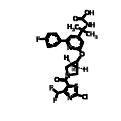 CC(C)(NC(=O)O)c1cc(OC2[C@H]3CN(C(=O)c4sc(Cl)nc4C(F)F)C[C@@H]23)nc(-c2ccc(F)cc2)c1